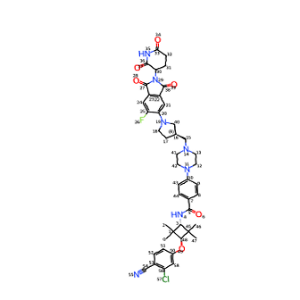 CC1(C)[C@H](NC(=O)c2ccc(N3CCN(C[C@H]4CCN(c5cc6c(cc5F)C(=O)N(C5CCC(=O)NC5=O)C6=O)C4)CC3)cc2)C(C)(C)[C@H]1Oc1ccc(C#N)c(Cl)c1